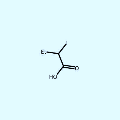 CCC(I)C(=O)O